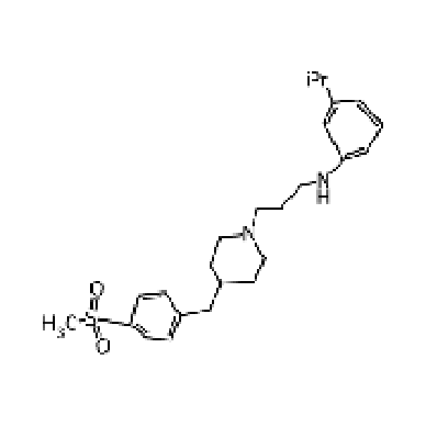 CC(C)c1cccc(NCCCN2CCC(Cc3ccc(S(C)(=O)=O)cc3)CC2)c1